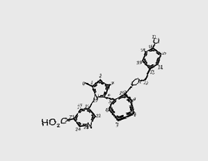 Cc1ccc(-c2ccccc2OCc2ccc(Cl)cc2)n1-c1cncc(C(=O)O)c1